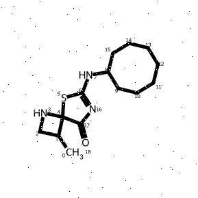 CC1CNC12SC(NC1CCCCCCC1)=NC2=O